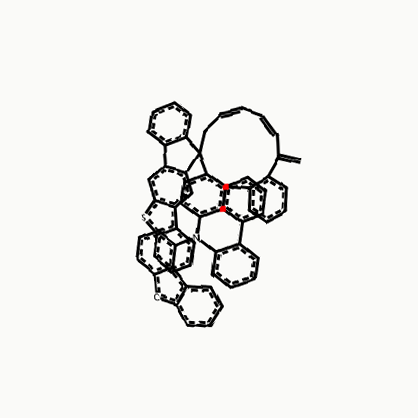 C=C1/C=C\C=C/CC2(c3ccc(N(c4ccccc4-c4ccccc4)c4cccc5oc6ccccc6c45)cc3-c3ccccc31)c1ccccc1-c1cc3sc4ccccc4c3cc12